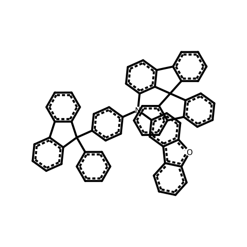 c1ccc(C2(c3ccc(N(c4ccc5oc6ccccc6c5c4)c4cccc5c4C4(c6ccccc6-c6ccccc64)c4ccccc4-5)cc3)c3ccccc3-c3ccccc32)cc1